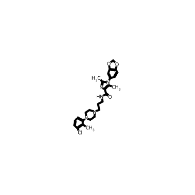 Cc1c(Cl)cccc1N1CCN(CCCNC(=O)c2nc(C)n(-c3ccc4c(c3)OCO4)c2C)CC1